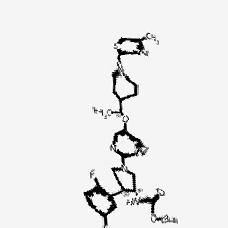 Cc1csc(N2CCC([C@H](C)Oc3cnc(N4C[C@H](NC(=O)OC(C)(C)C)[C@@H](c5cc(F)ccc5F)C4)nc3)CC2)n1